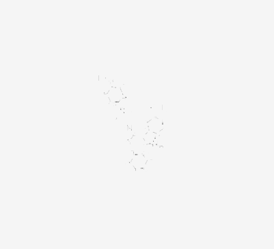 Cc1ccc2c(c1)c(C(=O)N1CCN(c3ccc(O)cn3)CC1)c(-c1ccccc1)n2C